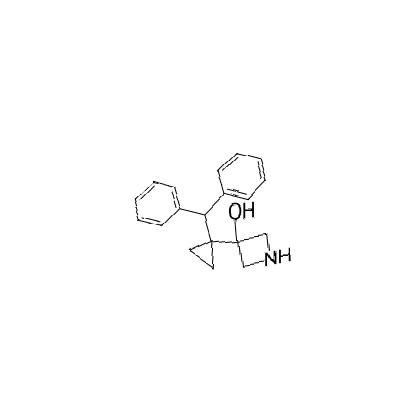 OC1(C2(C(c3ccccc3)c3ccccc3)CC2)CNC1